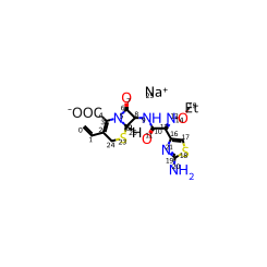 C=CC1=C(C(=O)[O-])N2C(=O)C(NC(=O)C(=NOCC)c3csc(N)n3)[C@@H]2SC1.[Na+]